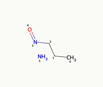 CCCN=O.N